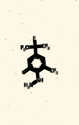 Cc1cc(C(F)(C(F)(F)F)C(F)(F)F)cc(C(F)(F)F)c1NN